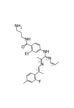 C\C=C/N=C(Nc1ccc(C(=O)NCCCN)c(CC)c1)\C(C)=N\C=C(/C)c1ccc(C)cc1F